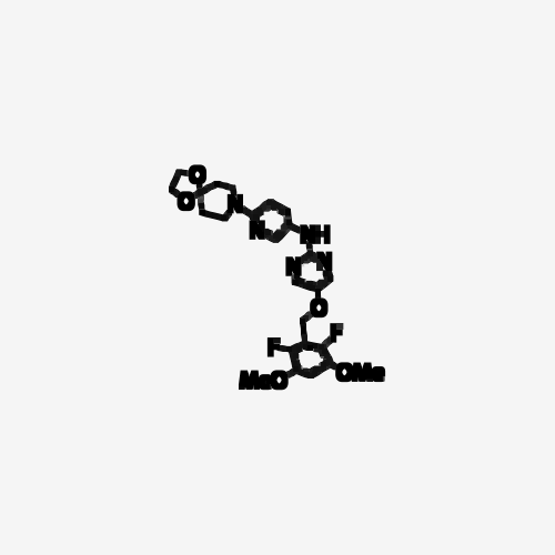 COc1cc(OC)c(F)c(COc2cnc(Nc3ccc(N4CCC5(CC4)OCCO5)nc3)nc2)c1F